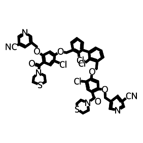 N#Cc1cncc(COc2cc(OCc3cccc(-c4cccc(COc5cc(OCc6cncc(C#N)c6)c(C(=O)N6CCSCC6)cc5Cl)c4Cl)c3Cl)c(Cl)cc2C(=O)N2CCSCC2)c1